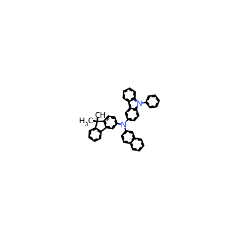 CC1(C)c2ccccc2-c2cc(N(c3ccc4ccccc4c3)c3ccc4c(c3)c3ccccc3n4-c3ccccc3)ccc21